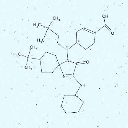 CC(C)(C)CC[C@H](C1=CC=C(C(=O)O)CC1)N1C(=O)C(NC2CCCCC2)=NC12CCC(C(C)(C)C)CC2